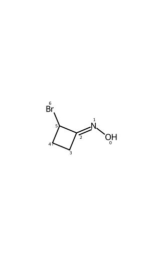 ON=C1C[CH]C1Br